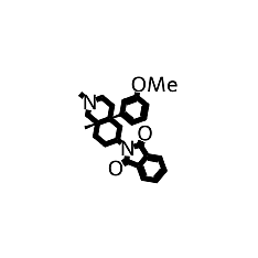 COc1cccc([C@]23CCN(C)C[C@@]2(C)CCC(N2C(=O)c4ccccc4C2=O)C3)c1